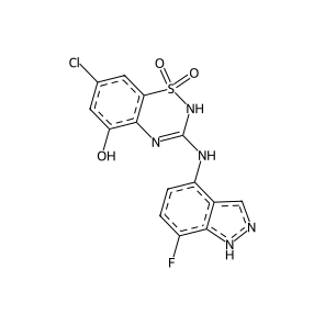 O=S1(=O)NC(Nc2ccc(F)c3[nH]ncc23)=Nc2c(O)cc(Cl)cc21